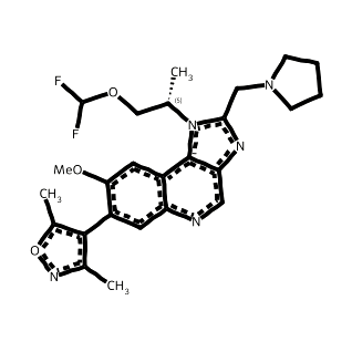 COc1cc2c(cc1-c1c(C)noc1C)ncc1nc(CN3CCCC3)n([C@@H](C)COC(F)F)c12